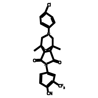 CC12CN(c3ccc(Cl)cc3)CC(C)(O1)C1C(=O)N(c3ccc(C#N)c(C(F)(F)F)c3)C(=O)C12